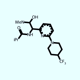 CNC(O)C(NC(=O)C(C)C)c1cccc(N2CCC(C(F)(F)F)CC2)n1